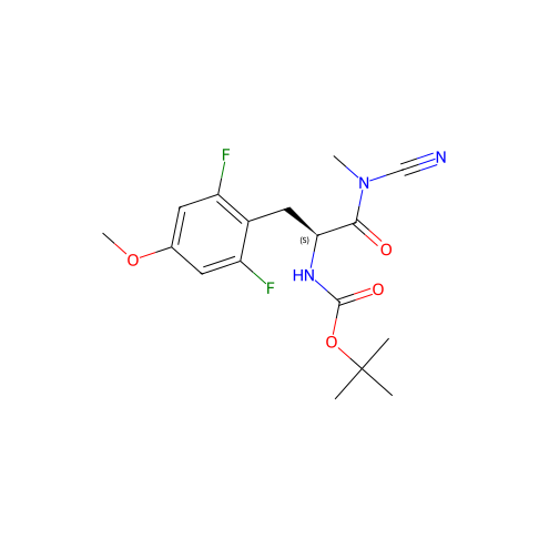 COc1cc(F)c(C[C@H](NC(=O)OC(C)(C)C)C(=O)N(C)C#N)c(F)c1